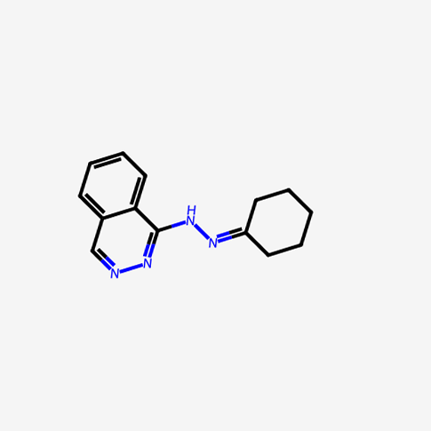 c1ccc2c(NN=C3CCCCC3)nncc2c1